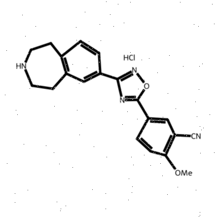 COc1ccc(-c2nc(-c3ccc4c(c3)CCNCC4)no2)cc1C#N.Cl